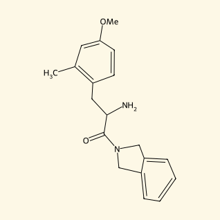 COc1ccc(CC(N)C(=O)N2Cc3ccccc3C2)c(C)c1